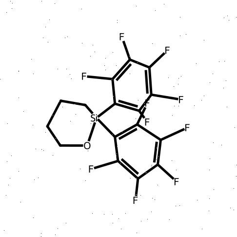 Fc1c(F)c(F)c([Si]2(c3c(F)c(F)c(F)c(F)c3F)CCCCO2)c(F)c1F